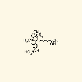 C=CC12CCc3cc(NS(=O)(=O)O)ccc3C1[C@@H](CCCCCC[C@@H](O)C(F)(F)F)C[C@@]1(C)C2CC[C@]1(C)O